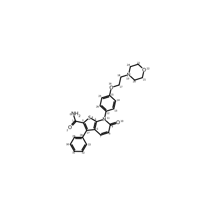 NC(=O)c1sc2c(ccc(=O)n2-c2ccc(OCCN3CCOCC3)cc2)c1-c1ccccc1